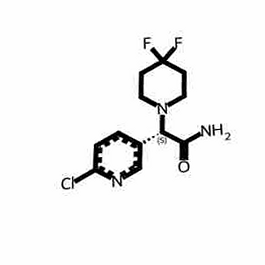 NC(=O)[C@H](c1ccc(Cl)nc1)N1CCC(F)(F)CC1